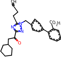 C#CCCc1nc(C(=O)CC2CCCCC2)nn1Cc1ccc(-c2ccccc2C(=O)O)cc1